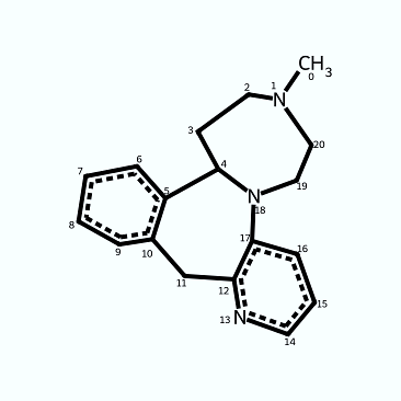 CN1CCC2c3ccccc3Cc3ncccc3N2CC1